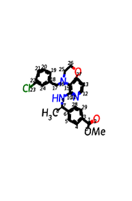 COC(=O)c1ccc([C@@H](C)Nc2nccc3c2N(Cc2cccc(Cl)c2)CCO3)cc1